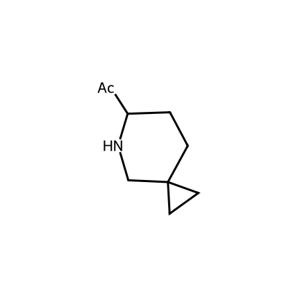 CC(=O)C1CCC2(CC2)CN1